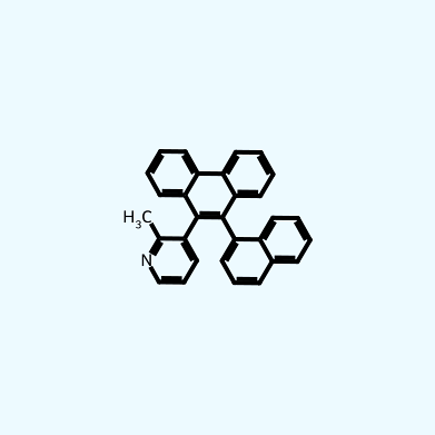 Cc1ncccc1-c1c(-c2cccc3ccccc23)c2ccccc2c2ccccc12